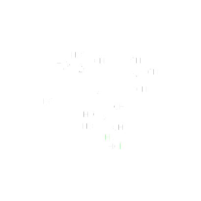 CCC1=[C]([Zr]([CH3])([CH3])(=[SiH2])[C]2=C(CC)C=C([Si](C)(C)C)C2)CC([Si](C)(C)C)=C1.Cl.Cl